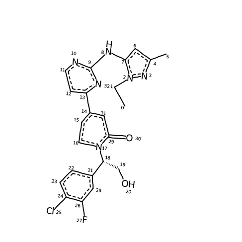 CCn1nc(C)cc1Nc1nccc(-c2ccn([C@H](CO)c3ccc(Cl)c(F)c3)c(=O)c2)n1